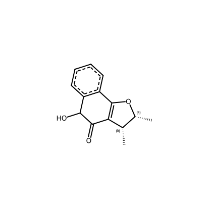 C[C@@H]1C2=C(O[C@@H]1C)c1ccccc1C(O)C2=O